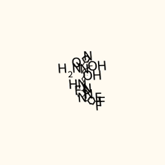 CCN(Cc1ccc(C(F)(F)F)cc1)c1ncnc(NCC[C@@H](O)CN(CCO)[C@@H](C(N)=O)c2ccncc2)c1F